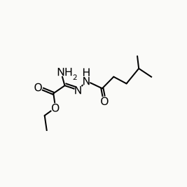 CCOC(=O)C(N)=NNC(=O)CCC(C)C